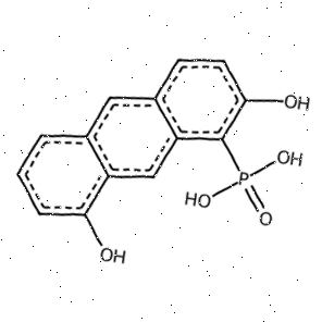 O=P(O)(O)c1c(O)ccc2cc3cccc(O)c3cc12